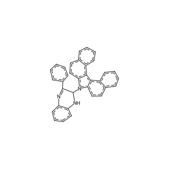 c1ccc(C2=Nc3ccccc3NC2n2c3ccc4ccccc4c3c3c4ccccc4ccc32)cc1